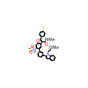 CNC(=O)c1c(-c2ccc(F)cc2)oc2cc(N(C)S(C)(=O)=O)c(-c3cccc(-c4cc5ccccc5n4CCOC)c3)cc12